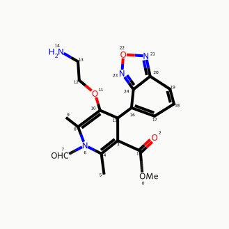 COC(=O)C1=C(C)N(C=O)C(C)=C(OCCN)C1c1cccc2nonc12